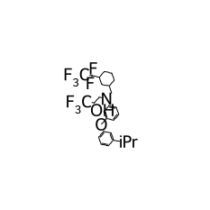 CC(C)c1cccc(Oc2cccc(N(CC3CCCC(C(F)(F)C(F)(F)F)C3)CC(O)C(F)(F)F)c2)c1